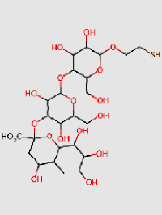 CC1C(O)CC(OC2C(O)C(CO)OC(OC3C(CO)OC(OCCS)C(O)C3O)C2O)(C(=O)O)OC1C(O)C(O)CO